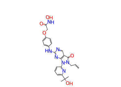 C=CCn1c(=O)c2cnc(Nc3ccc(OCC(=O)NO)cc3)nc2n1-c1cccc(C(C)(C)O)n1